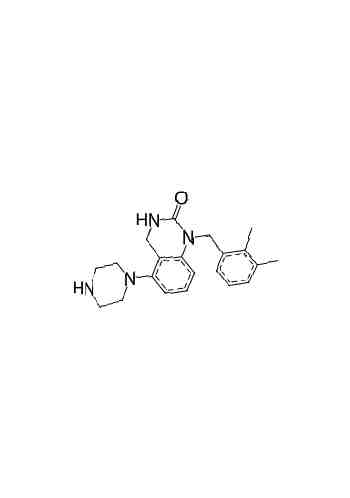 Cc1cccc(CN2C(=O)NCc3c(N4CCNCC4)cccc32)c1C